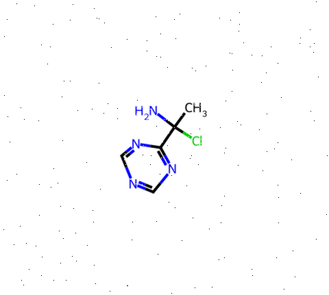 CC(N)(Cl)c1ncncn1